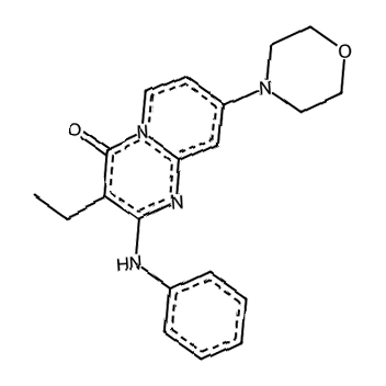 CCc1c(Nc2ccccc2)nc2cc(N3CCOCC3)ccn2c1=O